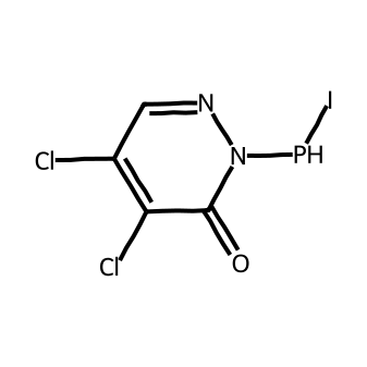 O=c1c(Cl)c(Cl)cnn1PI